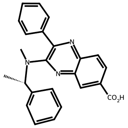 C[C@@H](c1ccccc1)N(C)c1nc2cc(C(=O)O)ccc2nc1-c1ccccc1